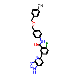 N#Cc1ccc(COCc2ccc(NC(=O)c3cc(-c4ccc5[nH]nnc5n4)ccc3F)cc2)cc1